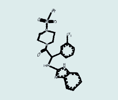 CC(C)S(=O)(=O)N1CCN(C(=O)C(Nc2nc3ccccc3[nH]2)c2cccc(C(F)(F)F)c2)CC1